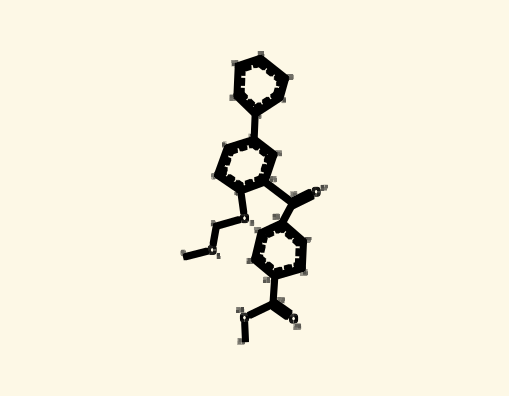 COCOc1ccc(-c2ccccc2)cc1C(=O)c1ccc(C(=O)OC)cc1